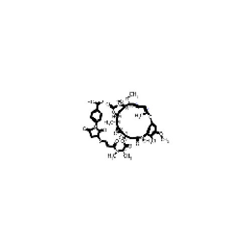 COc1cc2cc(c1Cl)N(C)C(=O)C[C@H](OC(=O)[C@H](C)N(C)C(=O)CCSC1CC(=O)N(c3ccc(C(=O)O)cc3)C1=O)[C@@]1(C)OC1[C@H](C)[C@@H]1C[C@@](O)(NC(=O)O1)[C@H](OC)/C=C/C=C(\C)C2